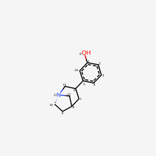 Oc1cccc(C2CC3CC[N@@](C3)C2)c1